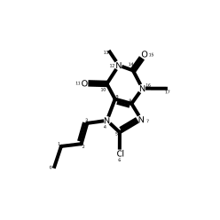 CCC=Cn1c(Cl)nc2c1c(=O)n(C)c(=O)n2C